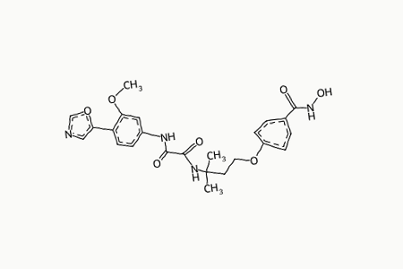 COc1cc(NC(=O)C(=O)NC(C)(C)CCOc2ccc(C(=O)NO)cc2)ccc1-c1cnco1